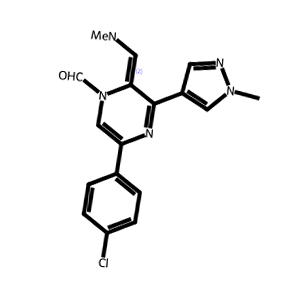 CN/C=C1/C(c2cnn(C)c2)=NC(c2ccc(Cl)cc2)=CN1C=O